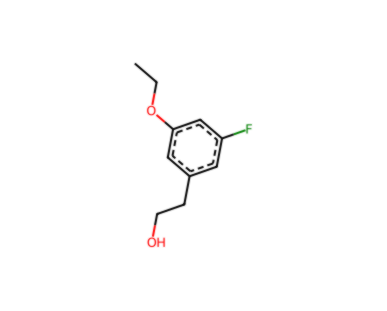 CCOc1cc(F)cc(CCO)c1